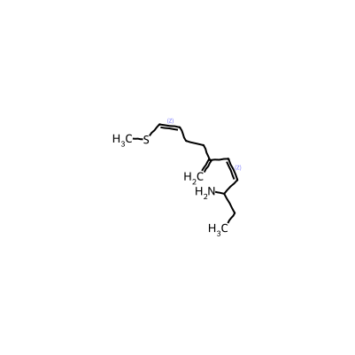 C=C(/C=C\C(N)CC)CC/C=C\SC